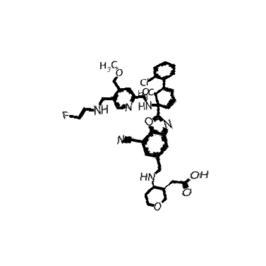 COCc1cc(C(=O)NC2(c3nc4cc(CN[C@@H]5CCOC[C@@H]5CC(=O)O)cc(C#N)c4o3)C=CC=C(c3ccccc3Cl)C2C)ncc1CNCCF